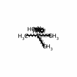 CCCCCCCCP(CCCCCCCC)CCCCCCCC.O=CO.c1ccc2[nH]nnc2c1